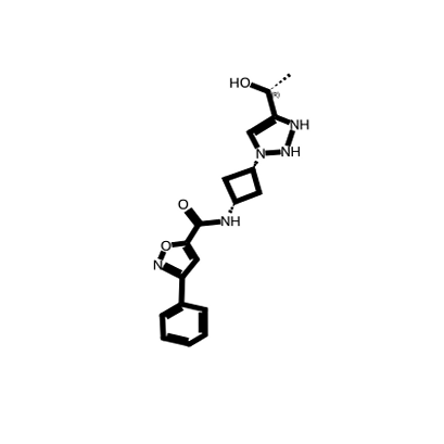 C[C@@H](O)C1=CN([C@H]2C[C@@H](NC(=O)c3cc(-c4ccccc4)no3)C2)NN1